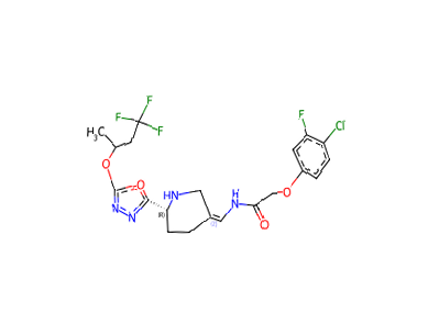 CC(CC(F)(F)F)Oc1nnc([C@H]2CC/C(=C/NC(=O)COc3ccc(Cl)c(F)c3)CN2)o1